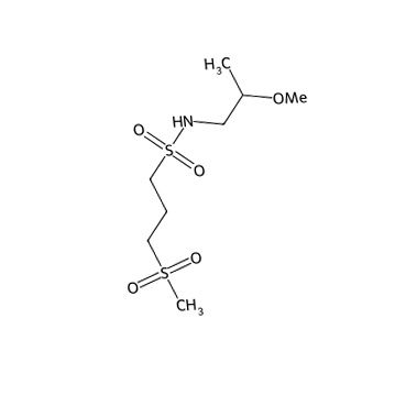 COC(C)CNS(=O)(=O)CCCS(C)(=O)=O